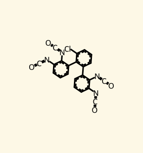 O=C=Nc1cccc(-c2cccc(Cl)c2-c2cccc(N=C=O)c2N=C=O)c1N=C=O